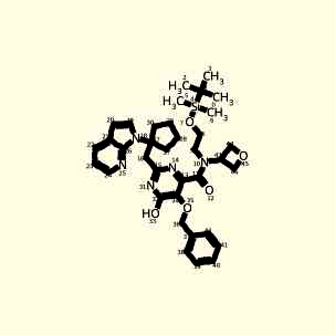 CC(C)(C)[Si](C)(C)OCCN(C(=O)c1nc(CC2(n3ccc4cccnc43)CCCC2)nc(O)c1OCc1ccccc1)C1COC1